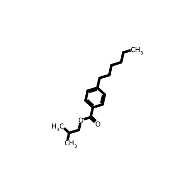 CCCCCCc1ccc(C(=O)OCC(C)C)cc1